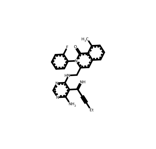 CCC#CC(=N)c1c(N)ncnc1NCc1cc2cccc(C)c2c(=O)n1-c1ccccc1F